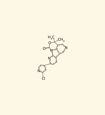 CC1(C)OC(=O)n2c3nc(-c4ccnc(Cl)c4)ccc3c3cncc1c32